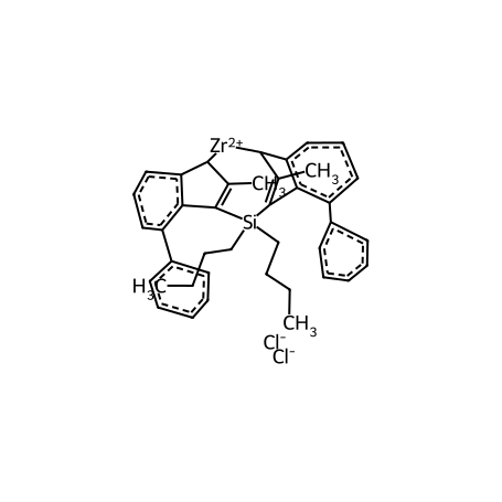 CCCC[Si]1(CCCC)C2=C(C)[CH]([Zr+2][CH]3C(C)=C1c1c(-c4ccccc4)cccc13)c1cccc(-c3ccccc3)c12.[Cl-].[Cl-]